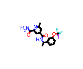 Cc1cc(C(=O)NC(C)c2cccc(OC(F)(F)I)c2)cc(C(N)=O)n1